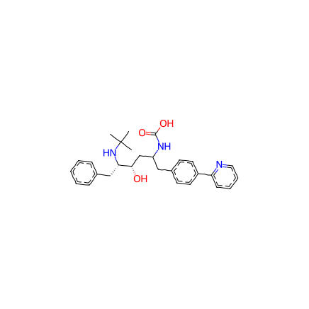 CC(C)(C)N[C@@H](Cc1ccccc1)[C@@H](O)CC(Cc1ccc(-c2ccccn2)cc1)NC(=O)O